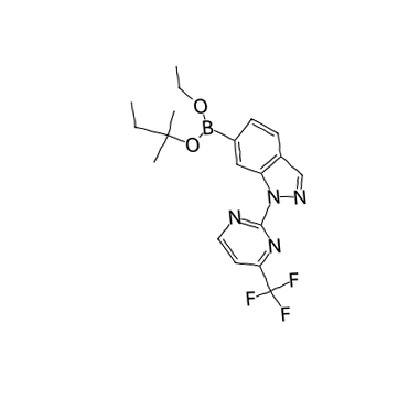 CCOB(OC(C)(C)CC)c1ccc2cnn(-c3nccc(C(F)(F)F)n3)c2c1